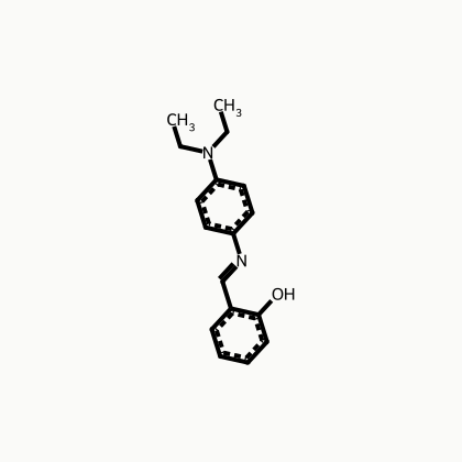 CCN(CC)c1ccc(N=Cc2ccccc2O)cc1